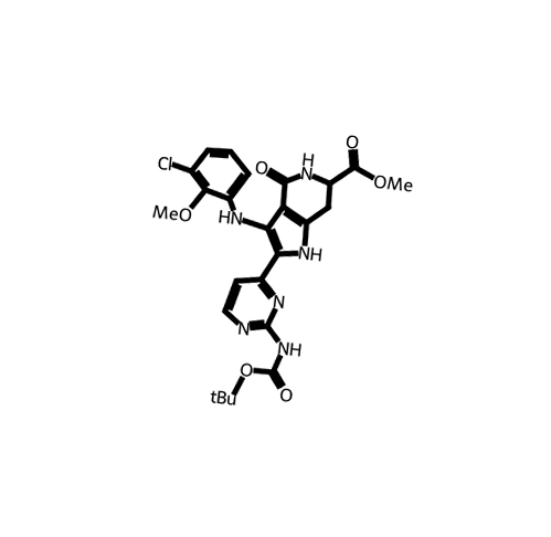 COC(=O)C1Cc2[nH]c(-c3ccnc(NC(=O)OC(C)(C)C)n3)c(Nc3cccc(Cl)c3OC)c2C(=O)N1